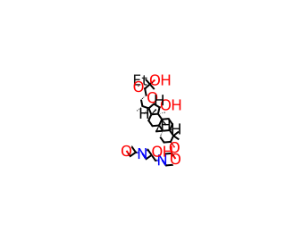 CCO[C@@H]([C@H]1C[C@@H](C)[C@H]2[C@H](O1)[C@H](O)[C@@]1(C)[C@@H]3CC[C@H]4C(C)(C)[C@@H](O[C@H]5CN(CC6(O)CN(C7COC7)C6)CCO5)CC[C@@]45C[C@@]35CC[C@]21C)C(C)(C)O